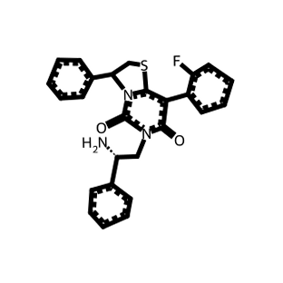 N[C@H](Cn1c(=O)c(-c2ccccc2F)c2n(c1=O)C(c1ccccc1)CS2)c1ccccc1